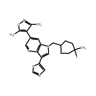 Cc1noc(C)c1-c1cnc2c(-c3cnco3)cn(CC3CCC(C)(F)CC3)c2c1